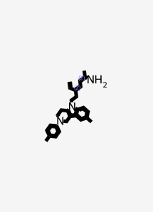 C=C/C(=C\C=C(\C)N)CCn1c2c(c3cc(C)ccc31)CN(c1ccc(C)cc1)CC2